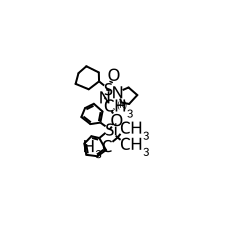 CN=S(=O)(C1CCCCC1)N1CCC[C@@H]1CO[Si](c1ccccc1)(c1ccccc1)C(C)(C)C